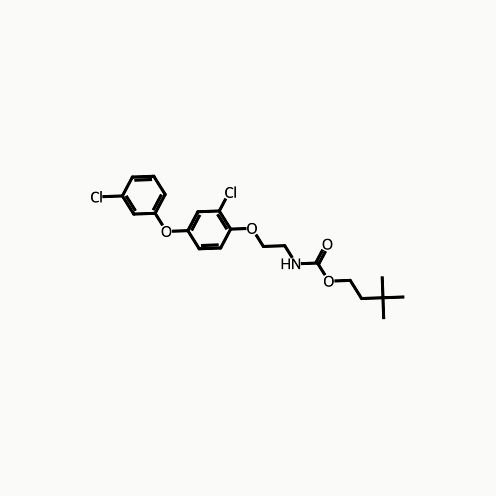 CC(C)(C)CCOC(=O)NCCOc1ccc(Oc2cccc(Cl)c2)cc1Cl